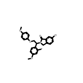 COc1ccc(OCC(c2ccc(OC)cc2F)N2Cc3ccc(Cl)cc3C2=O)cc1